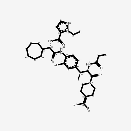 CCC(=O)N[C@@H](C(=O)N1CCC(=C(F)F)CC1)[C@@H](C)c1ccc(NC(=O)[C@@H](NC(=O)c2ccnn2CC)C2CCCCCC2)c(F)c1